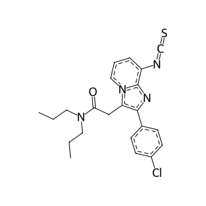 CCCN(CCC)C(=O)Cc1c(-c2ccc(Cl)cc2)nc2c(N=C=S)cccn12